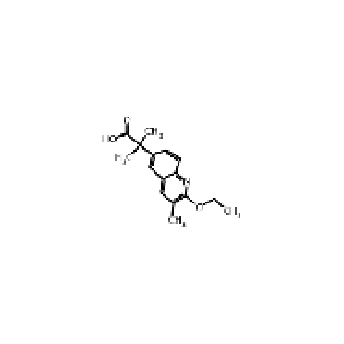 CCOc1nc2ccc(C(C)(C)C(=O)O)cc2cc1C